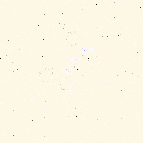 CCOc1nn(-c2ccccc2)c(NC(=O)NC2CN(CCOC)CC2c2ccccc2)c1C